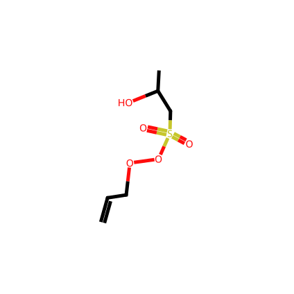 C=CCOOS(=O)(=O)CC(C)O